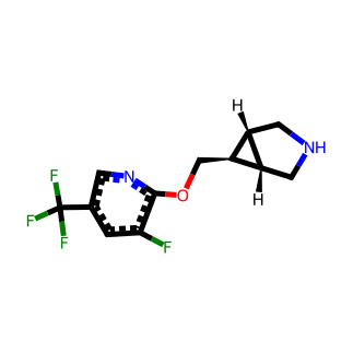 Fc1cc(C(F)(F)F)cnc1OC[C@H]1[C@@H]2CNC[C@@H]21